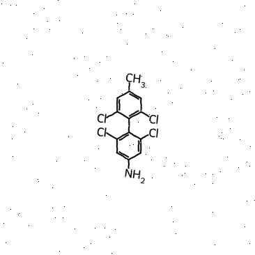 Cc1cc(Cl)c(-c2c(Cl)cc(N)cc2Cl)c(Cl)c1